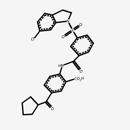 O=C(Nc1ccc(C(=O)C2CCCC2)cc1C(=O)O)c1cccc(S(=O)(=O)N2CCc3ccc(Cl)cc32)c1